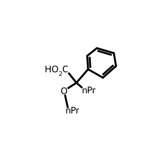 CCCOC(CCC)(C(=O)O)c1ccccc1